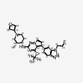 [2H]C([2H])([2H])Oc1nc(N[C@H]2CCN(C3COC3)C[C@H]2F)nn2ccc(-c3ccc4nnn(CCF)c4c3)c12